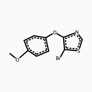 COc1ccc(Oc2ncsc2Br)cc1